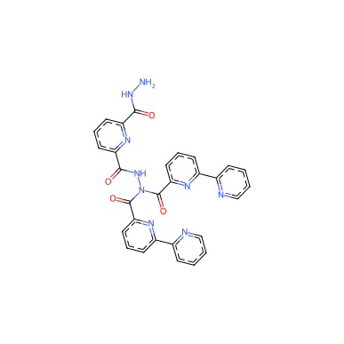 NNC(=O)c1cccc(C(=O)NN(C(=O)c2cccc(-c3ccccn3)n2)C(=O)c2cccc(-c3ccccn3)n2)n1